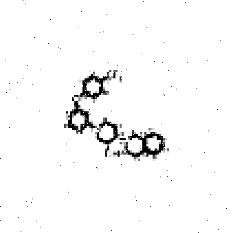 O[C@@H]1CN(c2cc(Oc3ccc(C(F)(F)F)cc3)ncn2)CC[C@H]1N1CCc2ccccc2C1